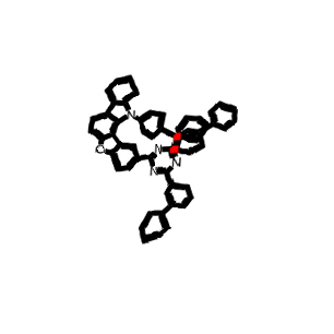 c1ccc(-c2cccc(-c3ccc(-n4c5ccccc5c5ccc6oc7ccc(-c8nc(-c9ccccc9)nc(-c9cccc(-c%10ccccc%10)c9)n8)cc7c6c54)cc3)c2)cc1